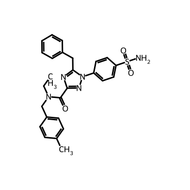 CCN(Cc1ccc(C)cc1)C(=O)c1nc(Cc2ccccc2)n(-c2ccc(S(N)(=O)=O)cc2)n1